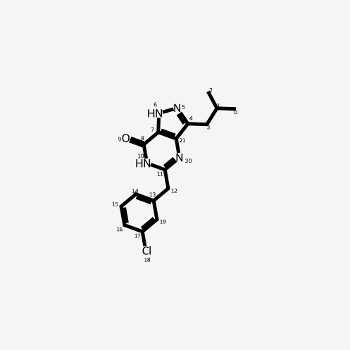 CC(C)Cc1n[nH]c2c(=O)[nH]c(Cc3cccc(Cl)c3)nc12